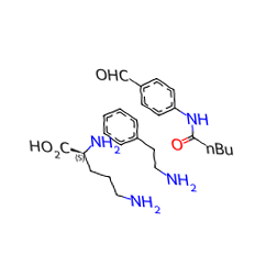 CCCCC(=O)Nc1ccc(C=O)cc1.NCCC[C@H](N)C(=O)O.NCCc1ccccc1